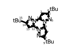 CC(C)(C)c1cc2n(n1)c1cc(C(C)(C)C)nn1c1cc(C(C)(C)C)nn21